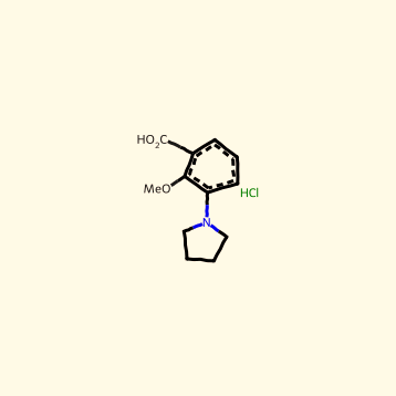 COc1c(C(=O)O)cccc1N1CCCC1.Cl